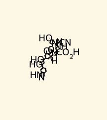 N#C/N=C(\NC[C@H](NC(=O)c1c(Cl)cc(C(O)CC(O)c2ccc3cn[nH]c3c2)cc1Cl)C(=O)O)N1CC[C@H](O)C1